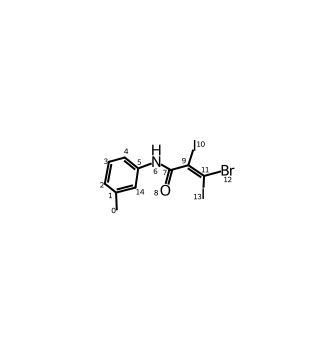 Cc1cccc(NC(=O)C(I)=C(Br)I)c1